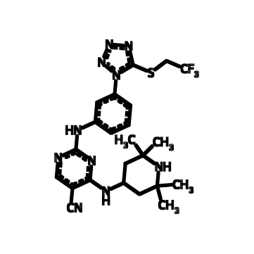 CC1(C)CC(Nc2nc(Nc3cccc(-n4nnnc4SCC(F)(F)F)c3)ncc2C#N)CC(C)(C)N1